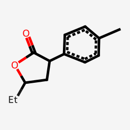 CCC1CC(c2ccc(C)cc2)C(=O)O1